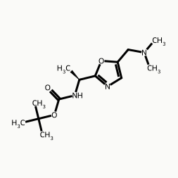 C[C@H](NC(=O)OC(C)(C)C)c1ncc(CN(C)C)o1